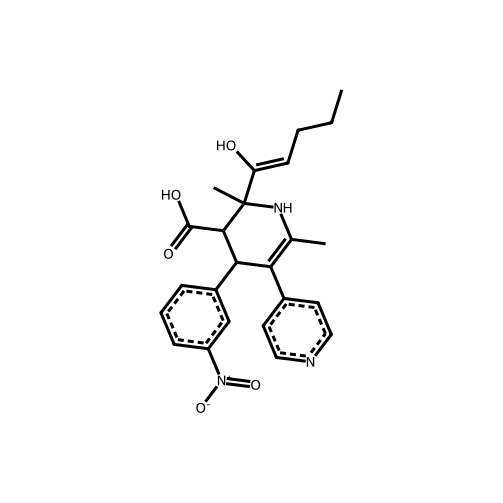 CCCC=C(O)C1(C)NC(C)=C(c2ccncc2)C(c2cccc([N+](=O)[O-])c2)C1C(=O)O